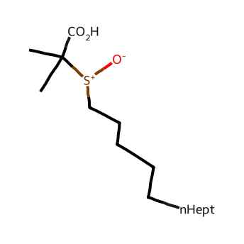 CCCCCCCCCCCC[S+]([O-])C(C)(C)C(=O)O